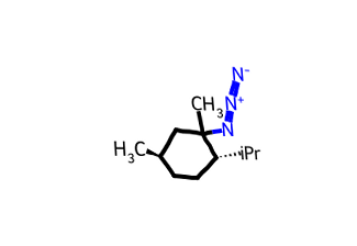 CC(C)[C@@H]1CC[C@@H](C)CC1(C)N=[N+]=[N-]